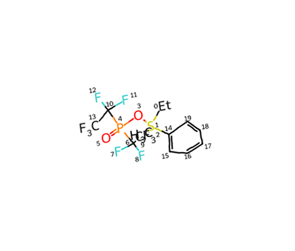 CCS(C)(OP(=O)(C(F)(F)C(F)(F)F)C(F)(F)C(F)(F)F)c1ccccc1